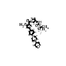 Cc1cc(-c2ccc(N3CCN(C4CCOCC4)CC3)cc2)sc1C(=O)N1CC[C@H](NC(=O)OC(C)(C)C)C1